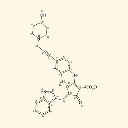 CCOC(=O)C1=C(Nc2ccc(C#CCN3CCC(O)CC3)cc2C)O/C(=C\c2c[nH]c3ncccc23)C1=O